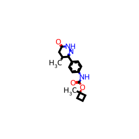 CC1CC(=O)NN=C1c1ccc(NC(=O)OC2(C)CCC2)cc1